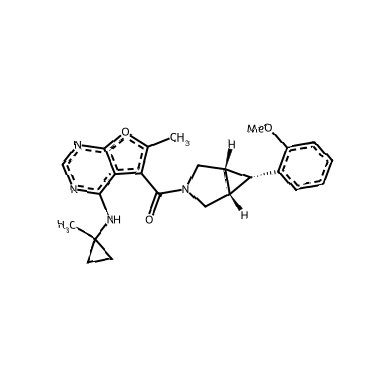 COc1ccccc1[C@@H]1[C@@H]2CN(C(=O)c3c(C)oc4ncnc(NC5(C)CC5)c34)C[C@@H]21